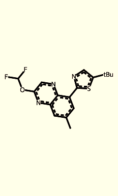 Cc1cc(-c2ncc(C(C)(C)C)s2)c2ncc(OC(F)F)nc2c1